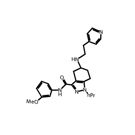 CCCn1nc(C(=O)Nc2cccc(OC)c2)c2c1CCC(NCCc1ccncc1)C2